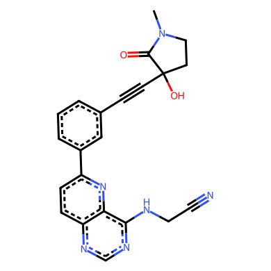 CN1CCC(O)(C#Cc2cccc(-c3ccc4ncnc(NCC#N)c4n3)c2)C1=O